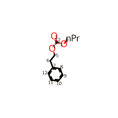 CCCOC(=O)OCCc1ccccc1